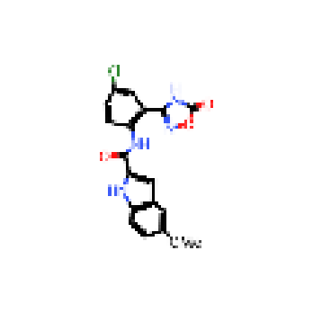 COc1ccc2[nH]c(C(=O)Nc3ccc(Cl)cc3-c3noc(=O)[nH]3)cc2c1